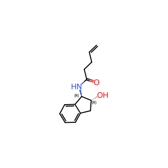 C=CCCC(=O)N[C@@H]1c2ccccc2C[C@H]1O